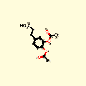 CCC(=O)Oc1ccc(CCC(=O)O)cc1OC(=O)CC